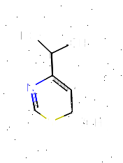 CC(C)C1=C[C@H](C)SC=N1